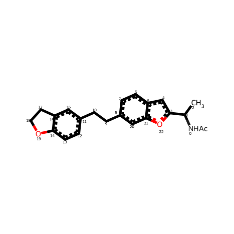 CC(=O)NC(C)c1cc2ccc(CCc3ccc4c(c3)CCO4)cc2o1